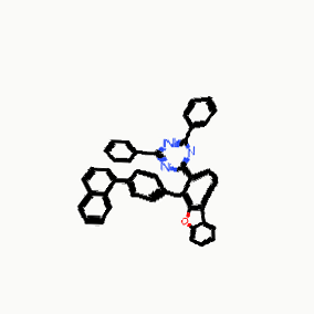 c1ccc(-c2nc(-c3ccccc3)nc(-c3ccc4c(oc5ccccc54)c3-c3ccc(-c4cccc5ccccc45)cc3)n2)cc1